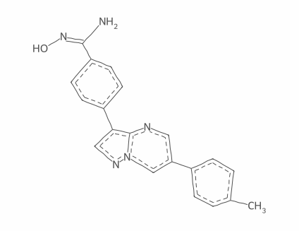 Cc1ccc(-c2cnc3c(-c4ccc(/C(N)=N\O)cc4)cnn3c2)cc1